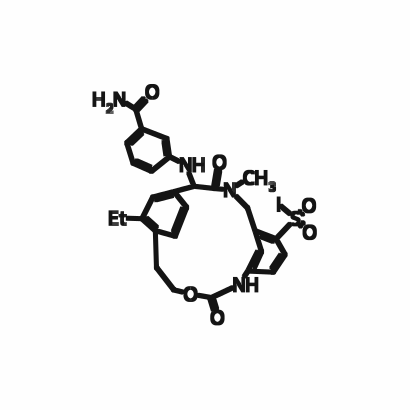 CCc1cc2ccc1CCOC(=O)Nc1ccc(S(=O)(=O)I)c(c1)CN(C)C(=O)C2Nc1cccc(C(N)=O)c1